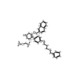 CN(C)CCN(C)C[C@@H]1CNC[C@H](OCc2ccc3ccccc3c2)[C@H]1c1ccc(OCCCOCc2ccccc2)cc1